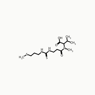 CSCCCNC(=S)NCCC(=O)N(C)C(C(=O)O)C(C)C